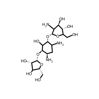 NC1C[C@@H](N)[C@@H](O[C@@H]2O[C@H](CO)C(O)[C@@H]2O)C(O)[C@@H]1O[C@H]1OC(CO)[C@@H](O)[C@H](O)C1N